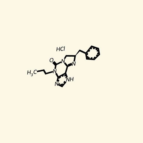 CCCN1C(=O)N2C[C@@H](Cc3ccccc3)N=C2c2[nH]cnc21.Cl